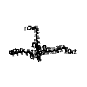 CCCCCCCC/C=C\CCCCCCCC(=O)OCC(COC(=O)CCCCCCC/C=C\CCCCCCCC)(COC(=O)CCCCCCCCCCCCCCCCC)CN(C)C